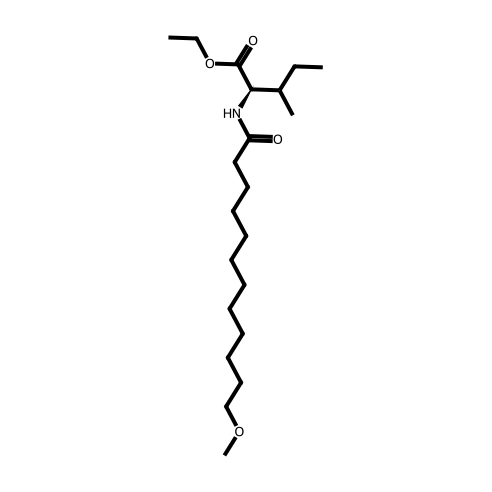 CCOC(=O)[C@H](NC(=O)CCCCCCCCCCCOC)C(C)CC